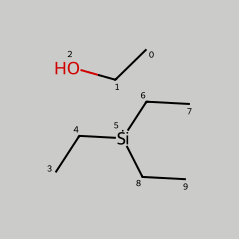 CCO.CC[Si](CC)CC